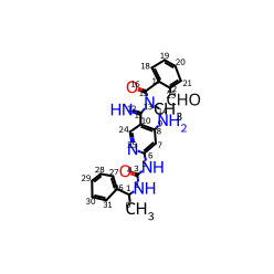 CC(NC(=O)Nc1cc(N)c(C(=N)N(C)C(=O)c2ccccc2C=O)cn1)c1ccccc1